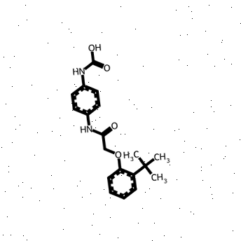 CC(C)(C)c1ccccc1OCC(=O)Nc1ccc(NC(=O)O)cc1